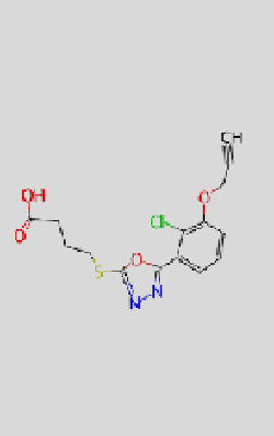 C#CCOc1cccc(-c2nnc(SCCCC(=O)O)o2)c1Cl